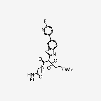 CCNC(=O)CNC(=O)C(c1nc2ccc(-c3ccc(F)nc3)cc2s1)S(=O)(=O)CCOC